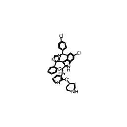 O=C(Nc1cccnc1OC1CCNCC1)c1[nH]c2cc(Cl)cc3c2c1-c1c(-c2ccccc2)ncn1C3c1ccc(Cl)cc1